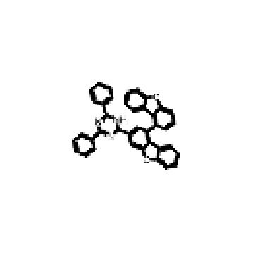 c1ccc(C2=NC(c3cc(-c4cccc5oc6ccccc6c45)c4c(c3)oc3ccccc34)NC(c3ccccc3)=N2)cc1